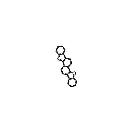 c1ccc2c(c1)oc1c2ccc2c1ccc1c3ccccc3sc12